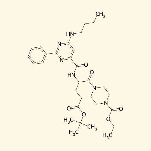 CCCCNc1cc(C(=O)NC(CCC(=O)OC(C)(C)C)C(=O)N2CCN(C(=O)OCC)CC2)nc(-c2ccccc2)n1